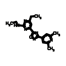 CCNc1nc(CC)cc(-c2nc(-c3cc(C)nc(C)c3)no2)n1